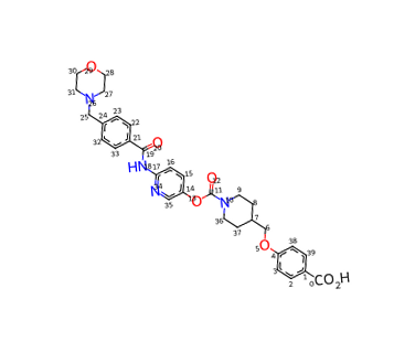 O=C(O)c1ccc(OCC2CCN(C(=O)Oc3ccc(NC(=O)c4ccc(CN5CCOCC5)cc4)nc3)CC2)cc1